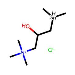 [CH3][SnH]([CH3])[CH2]C(O)C[N+](C)(C)C.[Cl-]